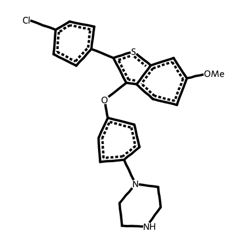 COc1ccc2c(Oc3ccc(N4CCNCC4)cc3)c(-c3ccc(Cl)cc3)sc2c1